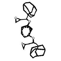 c1cc(OC(C2CO2)C23CC4CC(CC(C4)C2)C3)cc(OC(C2CO2)C23CC4CC(CC(C4)C2)C3)c1